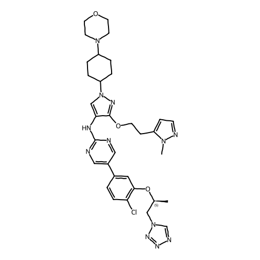 C[C@@H](Cn1cnnn1)Oc1cc(-c2cnc(Nc3cn(C4CCC(N5CCOCC5)CC4)nc3OCCc3ccnn3C)nc2)ccc1Cl